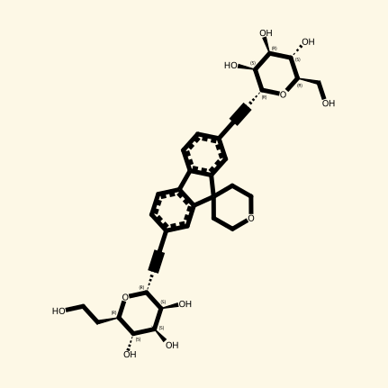 OCC[C@H]1O[C@H](C#Cc2ccc3c(c2)C2(CCOCC2)c2cc(C#C[C@H]4O[C@H](CO)[C@@H](O)[C@H](O)[C@@H]4O)ccc2-3)[C@@H](O)[C@@H](O)[C@@H]1O